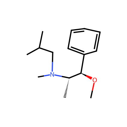 CO[C@H](c1ccccc1)[C@H](C)N(C)CC(C)C